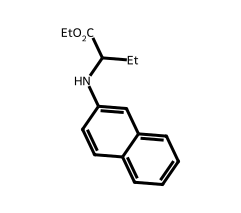 CCOC(=O)C(CC)Nc1ccc2ccccc2c1